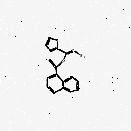 C=C(O/C(=N\N)c1cccs1)c1cccc2ccccc12